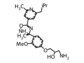 C=C(/N=C(\ON)c1cc(C)nc(CC(C)C)c1)c1ccc(OCC(O)CN)cc1OC